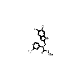 CC(C)(C)OC(=O)N(Cc1nc2cc(Cl)c(Cl)cc2[nH]1)c1ccnc(C(F)(F)F)c1